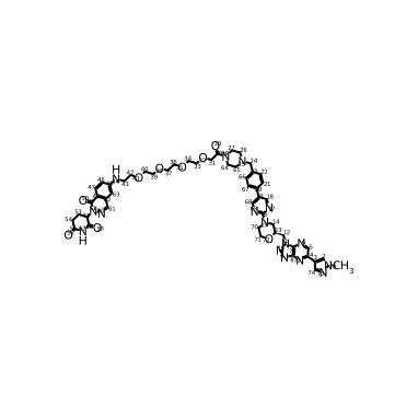 Cn1cc(-c2cnc3c(nnn3C[C@@H]3CN(c4ncc(-c5ccc(CN6CCN(C(=O)COCCOCCOCCOCCNc7ccc8c(=O)n(C9CCC(=O)NC9=O)ncc8c7)CC6)cc5)cn4)CCO3)n2)cn1